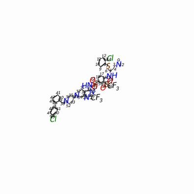 CN(C)CCC(CSc1ccccc1Cl)Nc1ccc(S(=O)(=O)Nc2nc(C(F)(F)F)nc3c2CCN(C2CCN(Cc4ccccc4-c4ccc(Cl)cc4)CC2)C3)cc1S(=O)(=O)C(F)(F)F